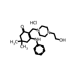 CC1(C)CC(=O)C(CN2CCN(CCO)CC2)=C(Nc2ccccc2)C1.Cl